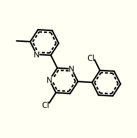 Cc1cccc(-c2nc(Cl)cc(-c3ccccc3Cl)n2)n1